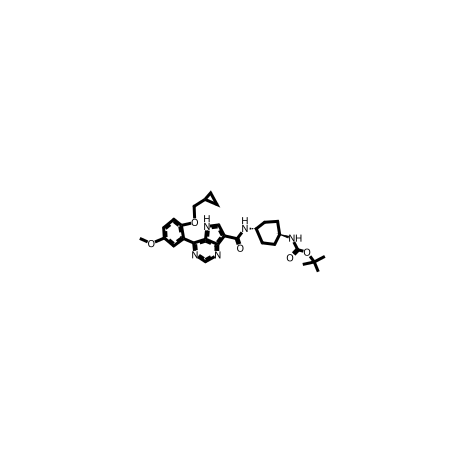 COc1ccc(OCC2CC2)c(-c2ncnc3c(C(=O)N[C@H]4CC[C@H](NC(=O)OC(C)(C)C)CC4)c[nH]c23)c1